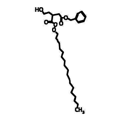 CCCCCCCCCCCCCCCCCCOOC(=O)C(CCO)CC(=O)OCc1ccccc1